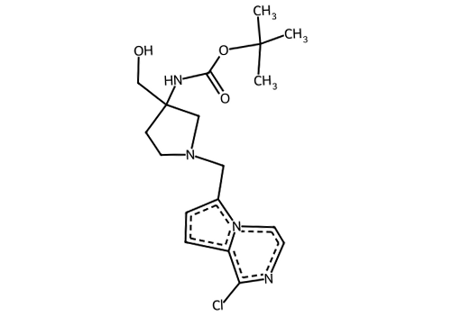 CC(C)(C)OC(=O)NC1(CO)CCN(Cc2ccc3c(Cl)nccn23)C1